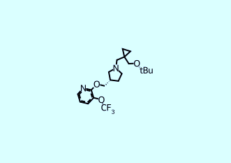 CC(C)(C)OCC1(CN2CC[C@H](COc3ncccc3OC(F)(F)F)C2)CC1